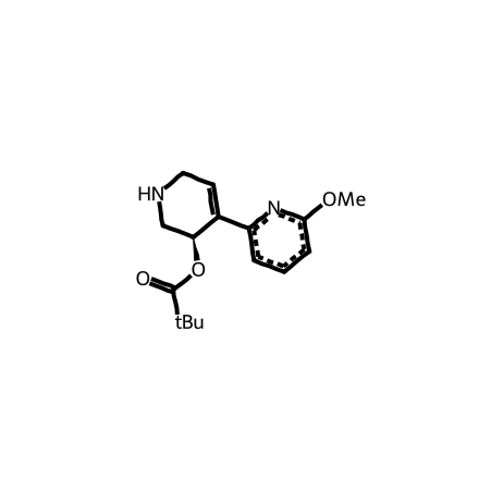 COc1cccc(C2=CCNC[C@@H]2OC(=O)C(C)(C)C)n1